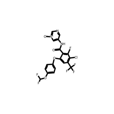 O=C(Nc1cnc[n+]([O-])c1)c1c(Oc2ccc(OC(F)F)cc2)cc(C(F)(F)F)c(Cl)c1F